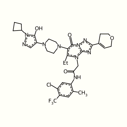 CCc1c(N2CCN(c3cnn(C4CCC4)c3O)CC2)c(=O)n2nc(C3=CCOCC3)nc2n1CC(=O)Nc1cc(Cl)c(C(F)(F)F)cc1C